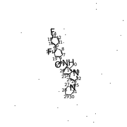 Cc1c(NC(=O)c2ccc(-c3ccc(F)cc3)c(F)c2)ccc2cc(CN3CCCCC3)cnc12